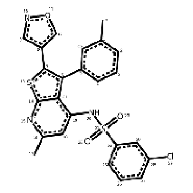 Cc1cccc(-c2c(-c3cnoc3)sc3nc(C)cc(NS(=O)(=O)c4cccc(Cl)c4)c23)c1